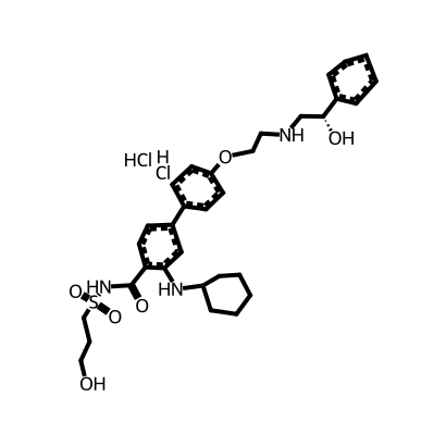 Cl.Cl.O=C(NS(=O)(=O)CCCO)c1ccc(-c2ccc(OCCNC[C@@H](O)c3ccccc3)cc2)cc1NC1CCCCC1